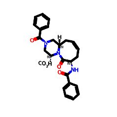 O=C(N[C@H]1CC=CC[C@H]2CN(C(=O)c3ccccc3)C[C@@H](C(=O)O)N2C1=O)c1ccccc1